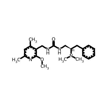 COc1nc(C)cc(C)c1CNC(=O)NC[C@@H](Cc1ccccc1)N(C)C